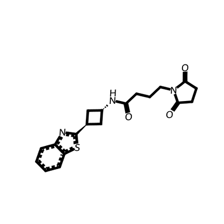 O=C(CCCN1C(=O)CCC1=O)N[C@H]1C[C@H](c2nc3ccccc3s2)C1